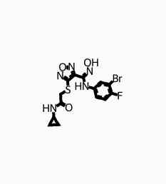 O=C(CSc1nonc1C(=NO)Nc1ccc(F)c(Br)c1)NC1CC1